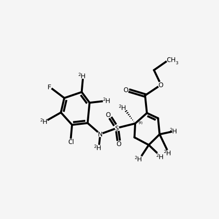 [2H]c1c([2H])c(N([2H])S(=O)(=O)[C@]2([2H])CC([2H])([2H])C([2H])([2H])C=C2C(=O)OCC)c(Cl)c([2H])c1F